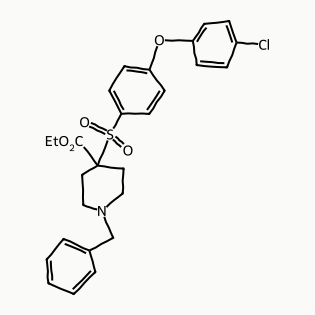 CCOC(=O)C1(S(=O)(=O)c2ccc(Oc3ccc(Cl)cc3)cc2)CCN(Cc2ccccc2)CC1